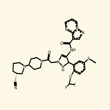 CSc1ccc(OC(F)F)c(C2NN(CC(=O)N3CCC(N4CCC[C@@H](C#N)C4)CC3)C=C2NC(=O)c2cnn3cccnc23)c1